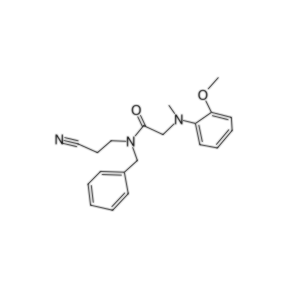 COc1ccccc1N(C)CC(=O)N(CCC#N)Cc1ccccc1